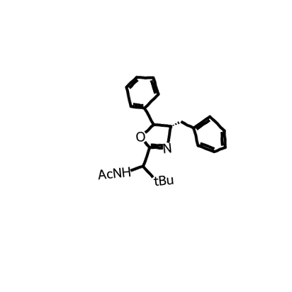 CC(=O)NC(C1=N[C@@H](Cc2ccccc2)C(c2ccccc2)O1)C(C)(C)C